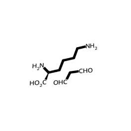 NCCCC[C@H](N)C(=O)O.O=CCC=O